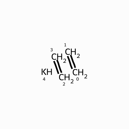 C=C.C=C.[KH]